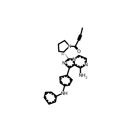 CC#CC(=O)N1CCC[C@H]1c1nc(-c2ccc(Nc3ccccc3)cc2)c2c(N)nccn12